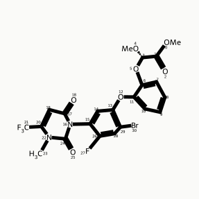 COC(=O)[C@@H](OC)Oc1ccccc1Oc1cc(-n2c(=O)cc(C(F)(F)F)n(C)c2=O)c(F)cc1Br